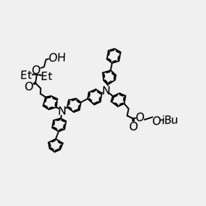 CCC(C)OCCOC(=O)CCc1ccc(N(c2ccc(-c3ccccc3)cc2)c2ccc(-c3ccc(N(c4ccc(CCC(=O)C(CC)(CC)OCCO)cc4)c4ccc(-c5ccccc5)cc4)cc3)cc2)cc1